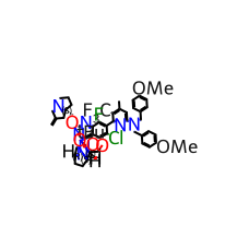 C=C1CN2CCC[C@@]2(COc2nc3c4c(c(Cl)c(-c5nc(N(Cc6ccc(OC)cc6)Cc6ccc(OC)cc6)cc(C)c5C(F)(F)F)c(F)c4n2)OC[C@@H]2[C@@H]4CC[C@H](CN32)N4C(=O)OC(C)(C)C)C1